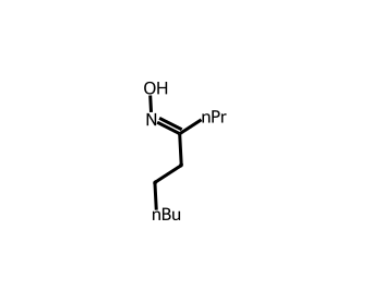 CCCCCCC(CCC)=NO